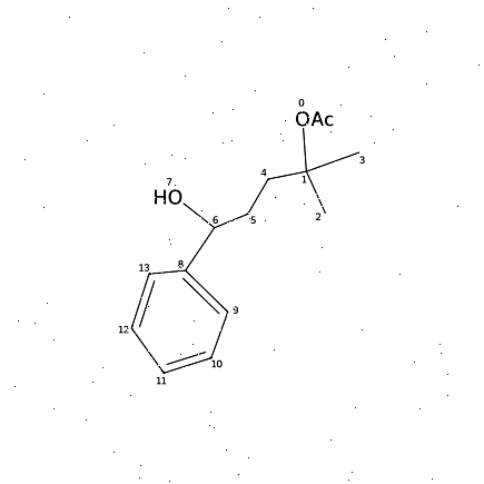 CC(=O)OC(C)(C)CCC(O)c1ccccc1